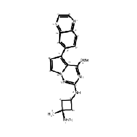 COc1nc(NC2CC(C)(NC(C)=O)C2)nn2ccc(-c3ccc4nccnc4c3)c12